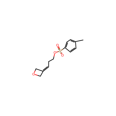 Cc1ccc(S(=O)(=O)OCCC=C2COC2)cc1